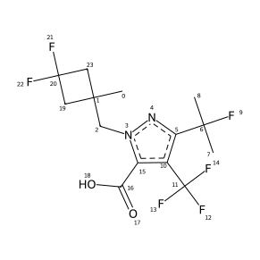 CC1(Cn2nc(C(C)(C)F)c(C(F)(F)F)c2C(=O)O)CC(F)(F)C1